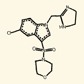 O=S(=O)(c1cn(CC2=NCCN2)c2ccc(Cl)cc12)N1CCOCC1